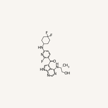 C[C@H](CO)Nc1ncnc2[nH]cc(C(=O)c3ccc(NC4CCC(F)(F)CC4)nc3F)c12